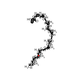 CC(=O)Nc1cn(C)c(C(=O)Nc2cn(C)c(C(=O)Nc3cc(C(=O)Nc4cn(C)c(C(=O)NCCC(=O)Nc5cc(C(=O)Nc6cn(C)c(C(=O)NCCCC(=O)Nc7cc(C(=O)Nc8cn(C)c(C(=O)Nc9cc(C(=O)NCCC(=O)Nc%10cc(C(=O)Nc%11ccc%12[nH]c(C(=O)N%13CC(CCl)c%14c%13cc(O)c%13ccccc%14%13)cc%12c%11)n(C)c%10)n(C)c9)n8)n(C)c7)n6)n(C)c5)n4)n(C)c3)n2)n1